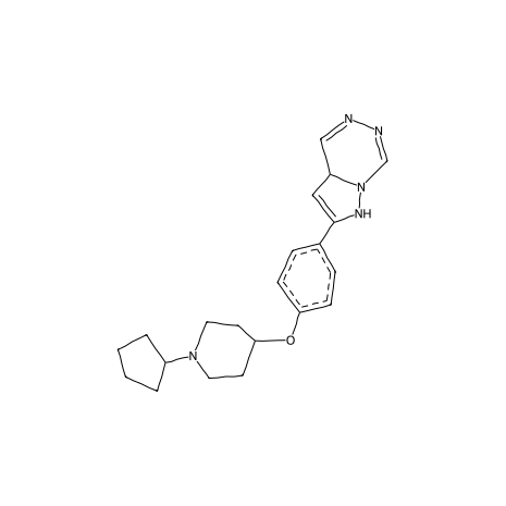 C1=NN=CN2NC(c3ccc(OC4CCN(C5CCCC5)CC4)cc3)=CC12